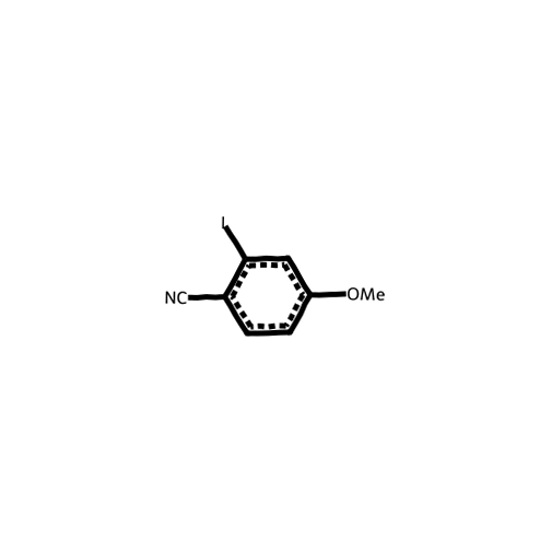 COc1ccc(C#N)c(I)c1